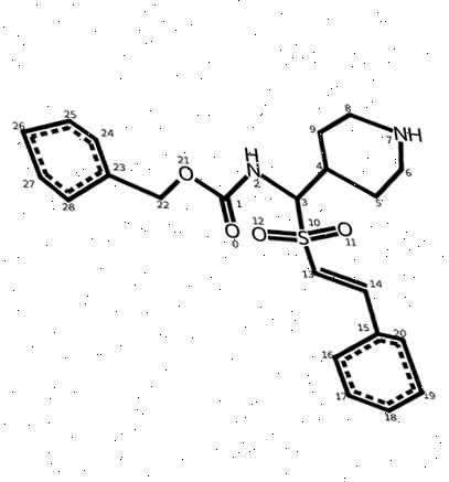 O=C(NC(C1CCNCC1)S(=O)(=O)C=Cc1ccccc1)OCc1ccccc1